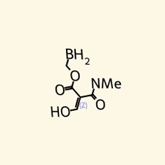 BCOC(=O)/C(=C\O)C(=O)NC